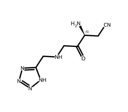 N#CC[C@H](N)C(=O)CNCc1nnn[nH]1